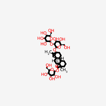 C=C1C[C@]23CC[C@H]4C(C)(C(=O)O[C@@H]5O[C@H](CO)[C@@H](O)[C@H](O)[C@H]5O)CCC[C@]4(C)[C@H]2CC[C@]1(O[C@@H]1O[C@H](CO)[C@@H](O)[C@H](O)[C@H]1O[C@@H]1O[C@H](CO)[C@@H](O)[C@H](O)[C@H]1O)C3